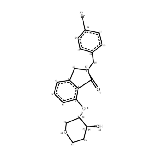 O=C1c2c(cccc2O[C@H]2COCC[C@@H]2O)CN1Cc1ccc(Br)cc1